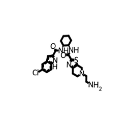 NCCN1CCc2nc(C(=O)N[C@@H]3CCCC[C@@H]3NC(=O)c3cc4cc(Cl)ccc4[nH]3)sc2C1